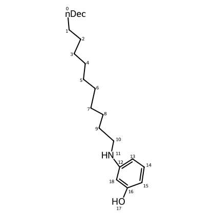 CCCCCCCCCCCCCCCCCCCCNc1cccc(O)c1